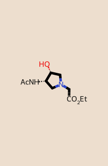 CCOC(=O)CN1C[C@@H](O)[C@@H](NC(C)=O)C1